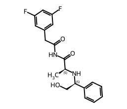 C[C@H](N[C@H](CO)c1ccccc1)C(=O)NC(=O)Cc1cc(F)cc(F)c1